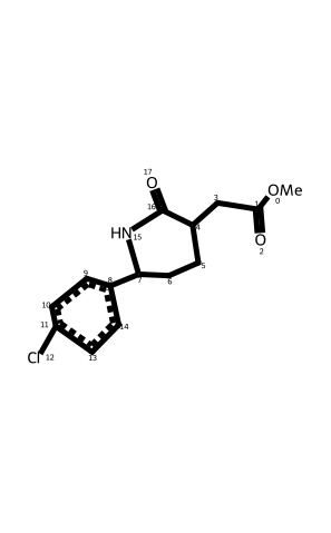 COC(=O)CC1CCC(c2ccc(Cl)cc2)NC1=O